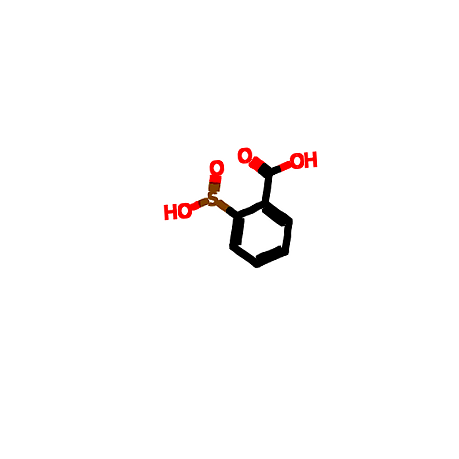 O=C(O)c1ccccc1S(=O)O